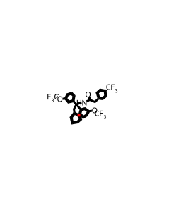 O=C(Cc1ccc(C(F)(F)F)cc1)NCC(Cc1ccccc1)(c1cccc(OC(F)(F)F)c1)c1cccc(OC(F)(F)F)c1